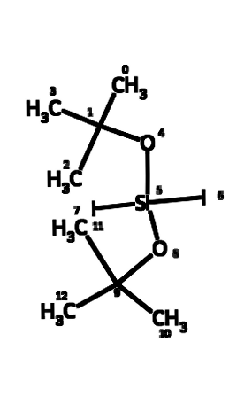 CC(C)(C)O[Si](I)(I)OC(C)(C)C